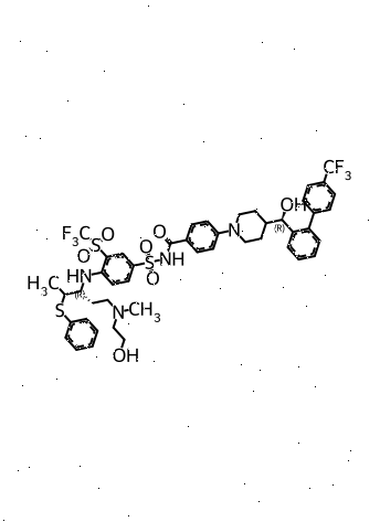 CC(Sc1ccccc1)[C@@H](CCN(C)CCO)Nc1ccc(S(=O)(=O)NC(=O)c2ccc(N3CCC([C@@H](O)c4ccccc4-c4ccc(C(F)(F)F)cc4)CC3)cc2)cc1S(=O)(=O)C(F)(F)F